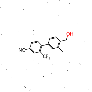 Cc1cc(-c2ccc(C#N)cc2C(F)(F)F)ccc1CO